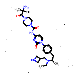 CCN(CC1CNC1)C(C)Cc1ccc(-n2ccc(NC(=O)N3CCN(C(=O)C(C)(C)N)CC3)nc2=O)cc1